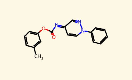 Cc1cccc(OC(=O)N=c2ccn(-c3ccccc3)nc2)c1